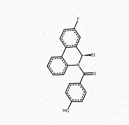 CC[C@@H]1c2cc(F)ccc2-c2ccccc2N1C(=O)c1ccc(O)cc1